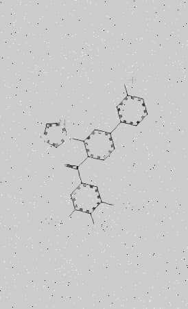 COc1cc(C(=O)c2ccc(-c3cccc(C=O)c3)cc2-n2cncn2)cc(OC)c1OC